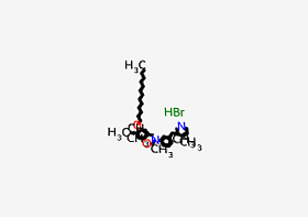 Br.CCCCCCCCCCCCCCOc1cc(CN(C(C)=O)c2cccc(CC3(C)CN=CC=C3C)c2)ccc1C(C)(C)C